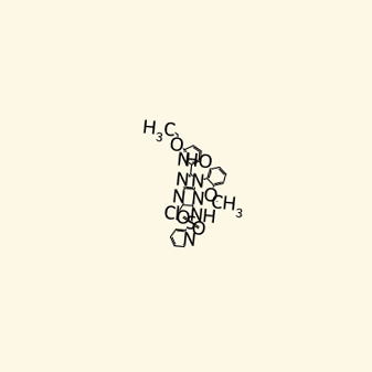 CCOC1=NC(c2nc3nc(Cl)c(NS(=O)(=O)c4ccccn4)nc3n2-c2c(O)cccc2OC)=C=C=C1